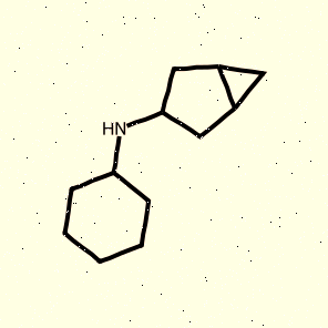 C1CCC(NC2CC3CC3C2)CC1